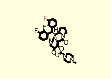 CN1CCN(C(=O)Oc2c3n(ncc2=O)[C@@H](C(c2cccc(F)c2)c2cccc(F)c2F)[C@H]2CCCN2C3=O)CC1